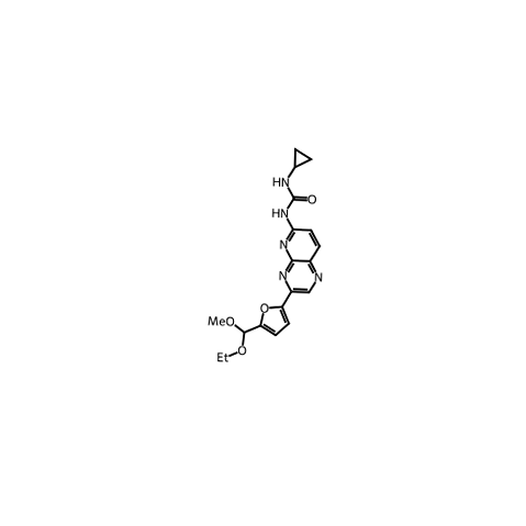 CCOC(OC)c1ccc(-c2cnc3ccc(NC(=O)NC4CC4)nc3n2)o1